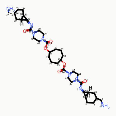 NCC1CC[C@H]2C(=NC(=O)N3CCN(C(=O)OC4CCCC(OC(=O)N5CCN(C(=O)N=C6[C@@H]7CC[C@@H](CN)C[C@@H]67)CC5)CCC4)CC3)[C@@H]2C1